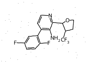 Nc1c(-c2cc(F)ccc2F)ccnc1C1OCCC1C(F)(F)F